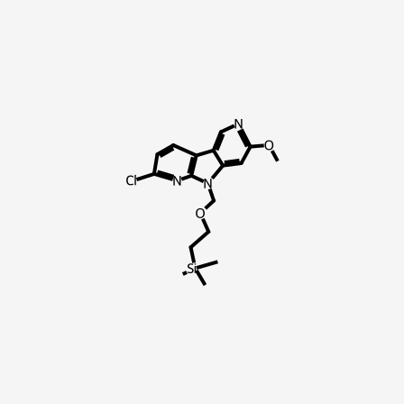 COc1cc2c(cn1)c1ccc(Cl)nc1n2COCC[Si](C)(C)C